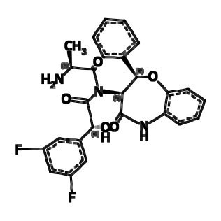 C[C@H](N)C(=O)N(C(=O)[C@H](O)c1cc(F)cc(F)c1)[C@@H]1C(=O)Nc2ccccc2O[C@@H]1c1ccccc1